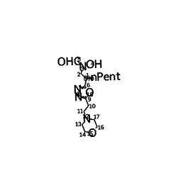 CCCCC[C@H](CN(O)C=O)c1nnc(CCN2CCOCC2)o1